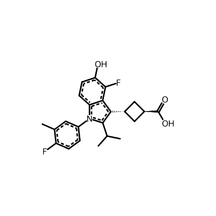 Cc1cc(-n2c(C(C)C)c([C@H]3C[C@H](C(=O)O)C3)c3c(F)c(O)ccc32)ccc1F